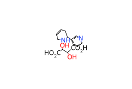 C1=CCC(c2cccnc2)NC1.O=C(O)C(O)C(O)C(=O)O